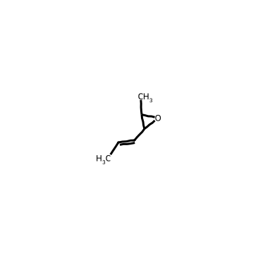 CC=CC1OC1C